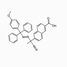 COc1ccc(C(N=NC(C)(C#N)c2ccc3cc(C(=O)O)ccc3c2)(c2ccccc2)c2ccccc2)cc1